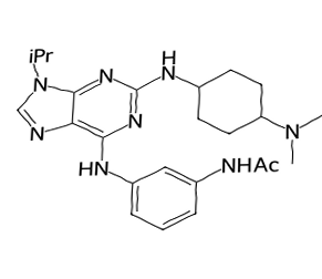 CC(=O)Nc1cccc(Nc2nc(NC3CCC(N(C)C)CC3)nc3c2ncn3C(C)C)c1